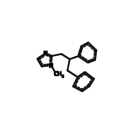 Cn1ccnc1CC(Cc1ccccc1)c1ccccc1